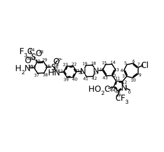 Cn1c(C2=CCC=C(Cl)C=C2)c(C2=CCCC(N3CCN(c4ccc(N[S+]([O-])C5C=C(S(=O)(=O)C(F)(F)F)C(N)CC5)cc4)CC3)=C2)c(C(=O)O)c1C(F)(F)F